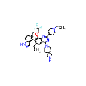 C=Cc1cc2c(N3CCC4(CC3)CNC4)nc(C3CCN(CC)CC3)nc2c(OCC(F)(F)F)c1-c1c(C)ccc2[nH]ncc12